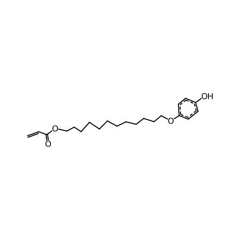 C=CC(=O)OCCCCCCCCCCCCOc1ccc(O)cc1